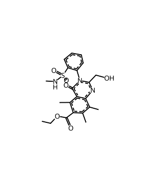 CCOC(=O)c1c(C)c(C)c2nc(CO)n(-c3ccccc3S(=O)(=O)NC)c(=O)c2c1C